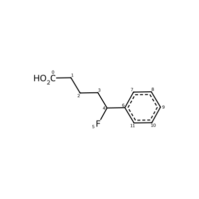 O=C(O)CCCC(F)c1ccccc1